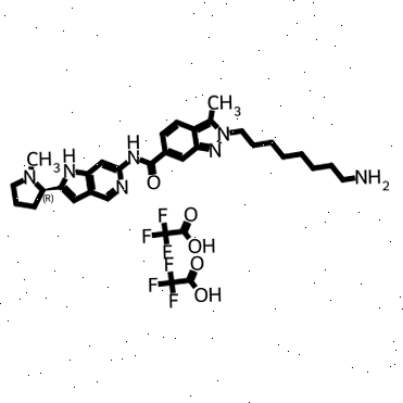 Cc1c2ccc(C(=O)Nc3cc4[nH]c([C@H]5CCCN5C)cc4cn3)cc2nn1CCCCCCCCN.O=C(O)C(F)(F)F.O=C(O)C(F)(F)F